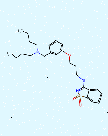 CCCCN(CCCC)Cc1cccc(OCCCNC2=NS(=O)(=O)c3ccccc32)c1